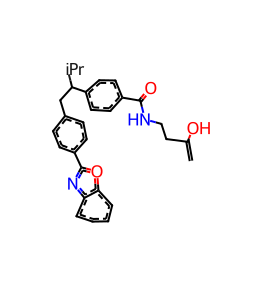 C=C(O)CCNC(=O)c1ccc(C(Cc2ccc(-c3nc4ccccc4o3)cc2)C(C)C)cc1